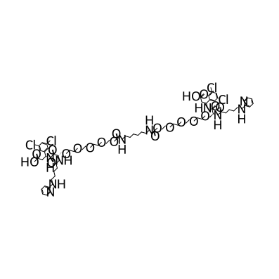 O=C(O)CC(NC(=O)[C@H](COCCOCCOCCOCCOC(=O)NCCCCCCNC(=O)OCCOCCOCCOCCOC[C@H](NC(=O)CCCCNc1ccccn1)C(=O)NC(CC(=O)O)c1cc(Cl)cc(Cl)c1)NC(=O)CCCCNc1ccccn1)c1cc(Cl)cc(Cl)c1